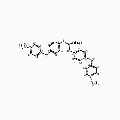 CCCCCCC(Cc1ccc(Cc2ccc([N+](=O)[O-])cc2)cc1)Cc1ccc(Cc2ccc([N+](=O)[O-])cc2)cc1